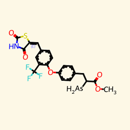 COC(=O)C([AsH2])Cc1ccc(Oc2ccc(/C=C3/SC(=O)NC3=O)cc2C(F)(F)F)cc1